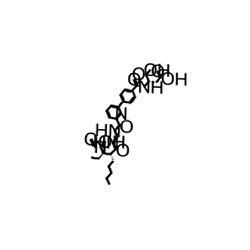 CCCCC[C@@H](C(=O)NCNC(=O)c1cccc(-c2ccc(C(=O)N[C@@H](CC(=O)O)C(=O)O)cc2)n1)[C@@H](CC)N(O)C=O